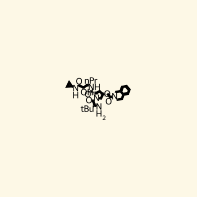 CCCC(NC(=O)[C@@H]1C[C@@H](OC(=O)N2CCc3ccccc3C2)CN1C(=O)[C@@H](N)C(C)(C)C)C(O)C(=O)NC1CC1